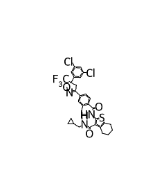 Cc1cc(C2=NOC(c3cc(Cl)cc(Cl)c3)(C(F)(F)F)C2)ccc1C(=O)Nc1sc2c(c1C(=O)NCC1CC1)CCCC2